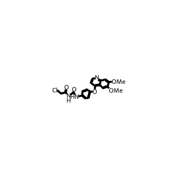 COc1cc2nccc(Oc3ccc(NC(=O)NC(=O)CCl)cc3)c2cc1OC